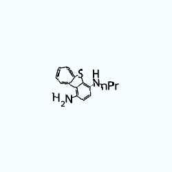 CCCNc1ccc(N)c2c1sc1ccccc12